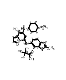 Cc1nc2ccc(Nc3cc(N[C@H]4CC[C@H](N)CC4)c(C#N)c4ccnn34)cc2s1.O=C(O)C(F)(F)F